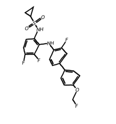 O=S(=O)(Nc1ccc(F)c(F)c1Nc1ccc(-c2ccc(OCF)cc2)cc1F)C1CC1